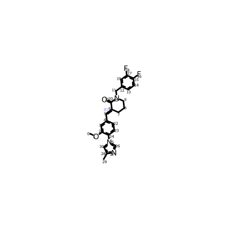 COc1cc(/C=C2\CCCN(Cc3ccc(F)c(F)c3)C2=O)ccc1-n1cnc(C)c1